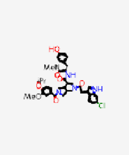 CNC(=O)[C@@H](Cc1ccc(O)cc1)NC(=O)C1CN(C(=O)Cc2c[nH]c3cc(Cl)ccc23)CC2CN(C(=O)c3ccc(OC(C)C)c(OC)c3)CC21